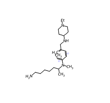 C=C(/C=C\C(=C/C)N(C)C(C)CCCCCN)CNC1CCN(CC)CC1